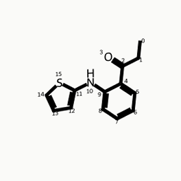 CCC(=O)c1ccccc1Nc1cccs1